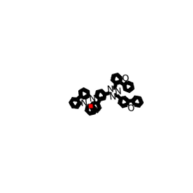 c1ccc(-n2c3ccccc3c3cccc(-n4c5ccccc5c5cc(-c6nc(-c7ccc8oc9ccccc9c8c7)nc(-c7cccc8oc9ccccc9c78)n6)ccc54)c32)cc1